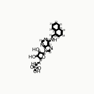 O=S(=O)(O)NC[C@H]1O[C@@H](n2cnc3c(NCc4cccc5ccccc45)ncnc32)[C@H](O)[C@@H]1O